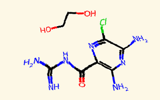 N=C(N)NC(=O)c1nc(Cl)c(N)nc1N.OCCO